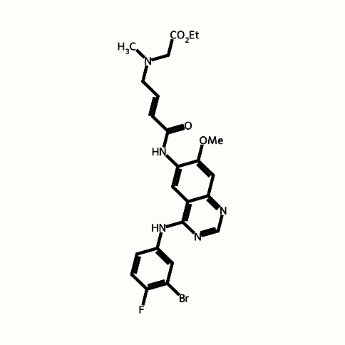 CCOC(=O)CN(C)CC=CC(=O)Nc1cc2c(Nc3ccc(F)c(Br)c3)ncnc2cc1OC